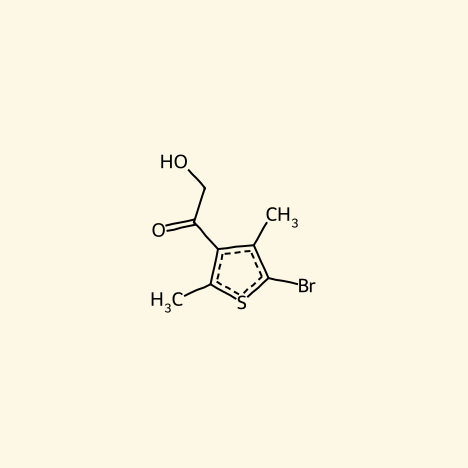 Cc1sc(Br)c(C)c1C(=O)CO